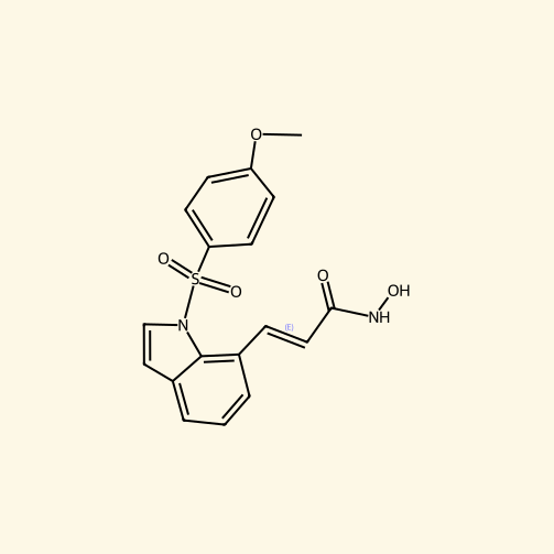 COc1ccc(S(=O)(=O)n2ccc3cccc(/C=C/C(=O)NO)c32)cc1